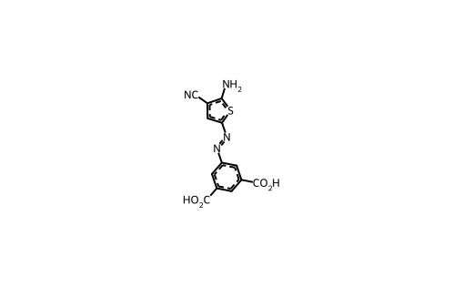 N#Cc1cc(N=Nc2cc(C(=O)O)cc(C(=O)O)c2)sc1N